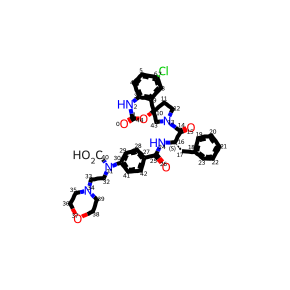 O=C1Nc2ccc(Cl)cc2C2(CCN(C(=O)[C@H](Cc3ccccc3)NC(=O)c3ccc(N(CCN4CCOCC4)C(=O)O)cc3)C2)O1